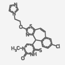 Cn1cc(C2c3ccc(Cl)cc3C=Cc3sc(OCCn4ccnc4)nc32)c(=S)[nH]c1=O